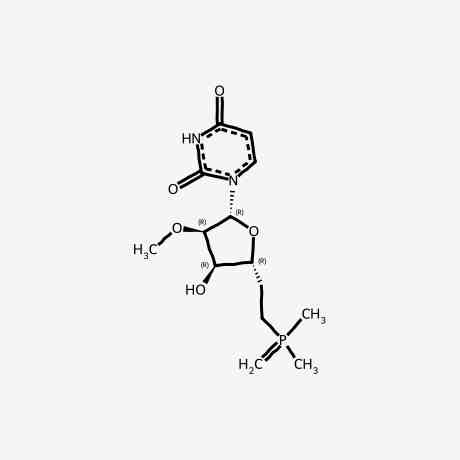 C=P(C)(C)CC[C@H]1O[C@@H](n2ccc(=O)[nH]c2=O)[C@H](OC)[C@@H]1O